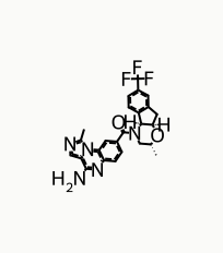 Cc1ncc2c(N)nc3ccc(C(=O)N4C[C@@H](C)O[C@@H]5Cc6cc(C(F)(F)F)ccc6[C@@H]54)cc3n12